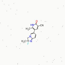 Cc1[nH]c(=O)c(C#N)cc1C1=CN2CC(C)(F)N=C2C=C1